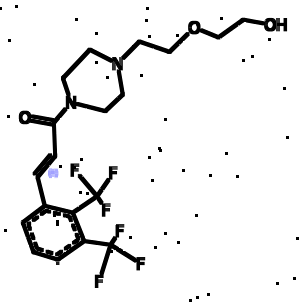 O=C(/C=C/c1cc[c]c(C(F)(F)F)c1C(F)(F)F)N1CCN(CCOCCO)CC1